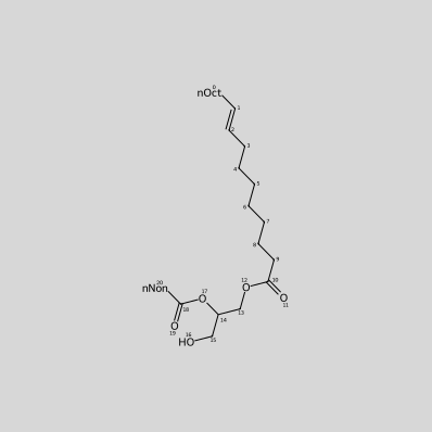 CCCCCCCCC=CCCCCCCCC(=O)OCC(CO)OC(=O)CCCCCCCCC